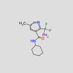 Cc1cnc(C(F)(F)P)c(C(=O)NC2CCCCC2)c1